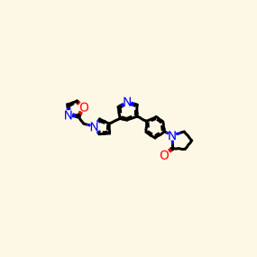 O=C1CCCN1c1ccc(-c2cncc(-c3ccn(Cc4ncco4)c3)c2)cc1